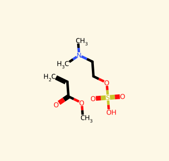 C=CC(=O)OC.CN(C)CCOS(=O)(=O)O